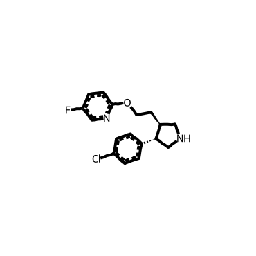 Fc1ccc(OCC[C@H]2CNC[C@@H]2c2ccc(Cl)cc2)nc1